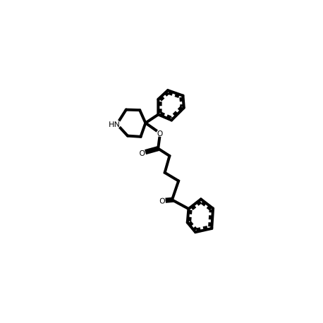 O=C(CCCC(=O)c1ccccc1)OC1(c2ccccc2)CCNCC1